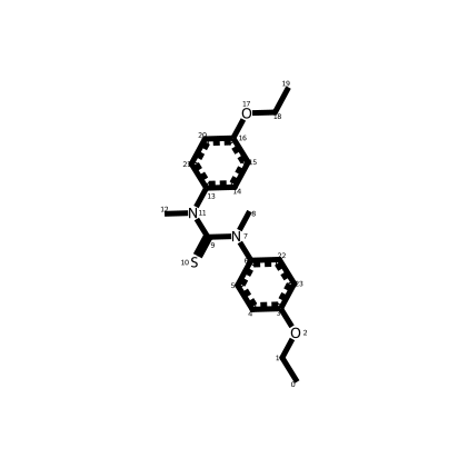 CCOc1ccc(N(C)C(=S)N(C)c2ccc(OCC)cc2)cc1